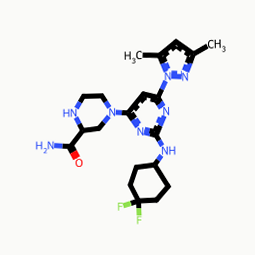 Cc1cc(C)n(-c2cc(N3CCNC(C(N)=O)C3)nc(NC3CCC(F)(F)CC3)n2)n1